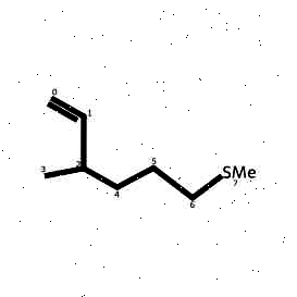 C=CC(C)CCCSC